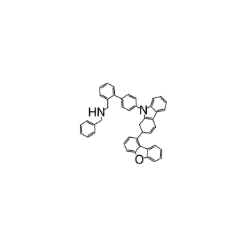 C1=CC(c2cccc3oc4ccccc4c23)Cc2c1c1ccccc1n2-c1ccc(-c2ccccc2CNCc2ccccc2)cc1